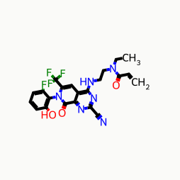 C=CC(=O)N(CC)CCNc1nc(C#N)nc2c(=O)n(-c3c(O)cccc3F)c(C(F)(F)F)cc12